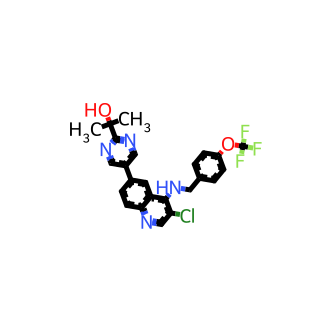 CC(C)(O)c1ncc(-c2ccc3ncc(Cl)c(NCc4ccc(OC(F)(F)F)cc4)c3c2)cn1